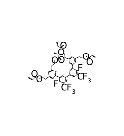 C=CC(=O)OCCc1cc(CCOC(=O)C=C)cc(-c2cc(-c3cc(-c4cc(CCOC(=O)C=C)cc(CCOC(=O)C=C)c4)c(F)c(C(F)(F)F)c3)cc(C(F)(F)F)c2F)c1